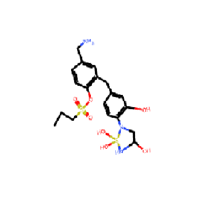 CCCS(=O)(=O)Oc1ccc(CN)cc1Cc1ccc(N2CC(O)NS2(O)O)c(O)c1